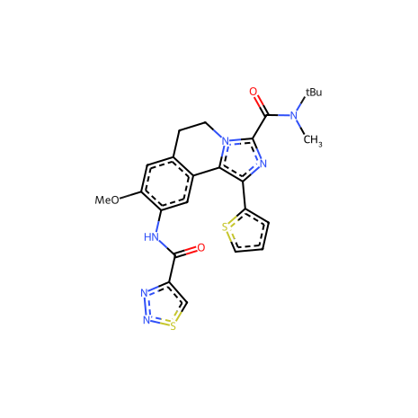 COc1cc2c(cc1NC(=O)c1csnn1)-c1c(-c3cccs3)nc(C(=O)N(C)C(C)(C)C)n1CC2